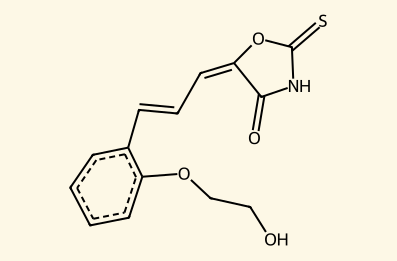 O=C1NC(=S)OC1=CC=Cc1ccccc1OCCO